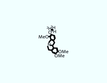 [2H]C([2H])([2H])Oc1ccc2c(c1OC)CN1CCc3cc(OC)c(OC)cc3C1C2